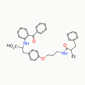 CCC(Cc1ccccc1)C(=O)NCCCOc1ccc(CC(Nc2ccccc2C(=O)c2ccccc2)C(=O)O)cc1